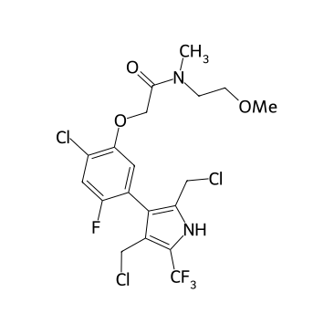 COCCN(C)C(=O)COc1cc(-c2c(CCl)[nH]c(C(F)(F)F)c2CCl)c(F)cc1Cl